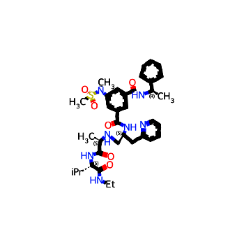 CCNC(=O)[C@@H](NC(=O)[C@H](C)NC[C@H](Cc1ccccn1)NC(=O)c1cc(C(=O)N[C@H](C)c2ccccc2)cc(N(C)S(C)(=O)=O)c1)C(C)C